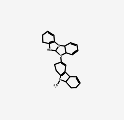 NN1C2=C(C=C(N3C4C=CC=CC4N4C5=C(CCC=C5)NC34)CC2)C2C=CCCC21